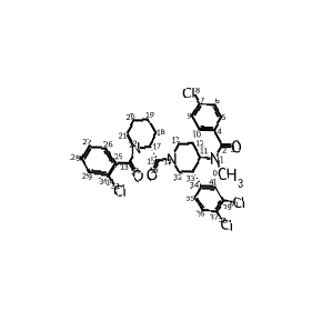 CN(C(=O)c1ccc(Cl)cc1)[C@@H]1CCN(C(=O)[C@H]2CCCCN2C(=O)c2ccccc2Cl)C[C@H]1c1ccc(Cl)c(Cl)c1